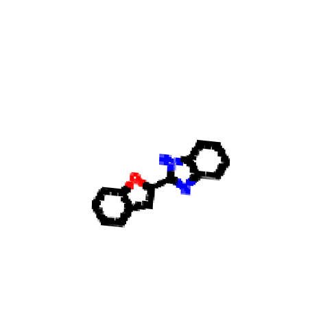 c1ccc2oc(-c3nc4ccccc4[nH]3)cc2c1